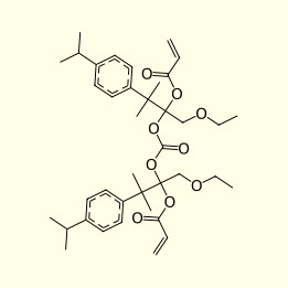 C=CC(=O)OC(COCC)(OC(=O)OC(COCC)(OC(=O)C=C)C(C)(C)c1ccc(C(C)C)cc1)C(C)(C)c1ccc(C(C)C)cc1